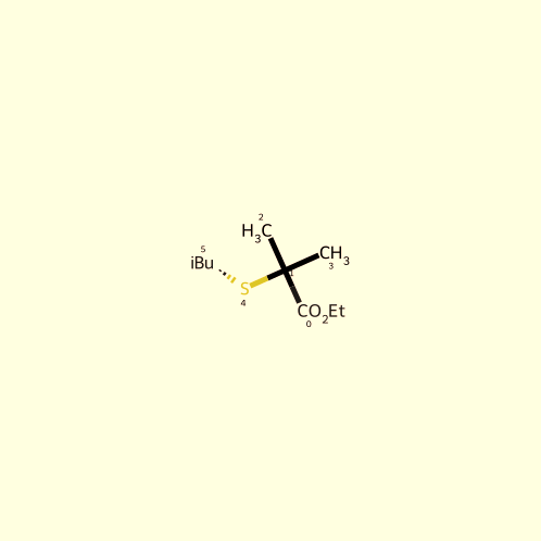 CCOC(=O)C(C)(C)S[C@@H](C)CC